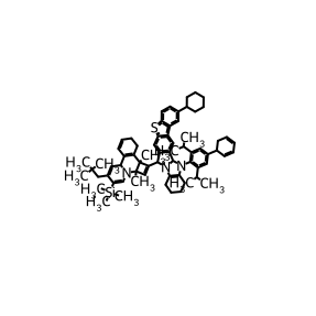 CC(C)c1cc(C2C=CC=CC2)cc(C(C)C)c1N1C2=C(CCCC2)N2C(C3=CC4(C)N5C=C([Si](C)(C)C)C(CC(C)(C)C)=CC5C5=C(CCC=C5)C34C)c3cc4sc5ccc(C6CCCCC6)cc5c4cc3C12